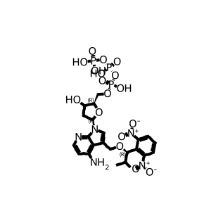 CC(C)[C@@H](OCc1cn([C@H]2CC(O)[C@@H](COP(=O)(O)OP(=O)(O)OP(=O)(O)O)O2)c2nccc(N)c12)c1c([N+](=O)[O-])cccc1[N+](=O)[O-]